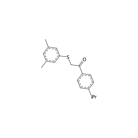 Cc1cc(C)cc(SCC(=O)c2ccc(C(C)C)cc2)c1